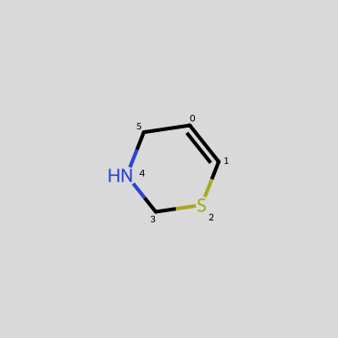 C1=CSCNC1